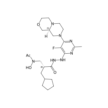 CC(=O)N(O)C[C@@H](CC1CCCC1)C(=O)NNc1nc(C)nc(N2CCN3CCOC[C@@H]3C2)c1F